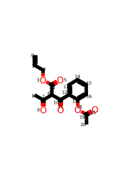 C=CCOC(=O)C(C(C)=O)C(=O)c1ccccc1OC(C)=O